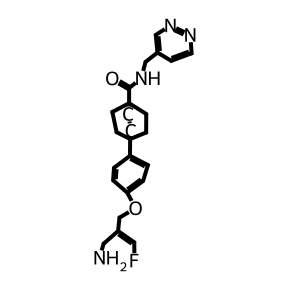 NCC(=CF)COc1ccc(C23CCC(C(=O)NCc4ccnnc4)(CC2)CC3)cc1